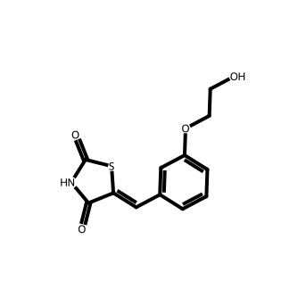 O=C1NC(=O)C(=Cc2cccc(OCCO)c2)S1